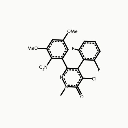 COc1cc(OC)c([N+](=O)[O-])c(-c2nn(C)c(=O)c(Cl)c2-c2c(F)cccc2F)c1